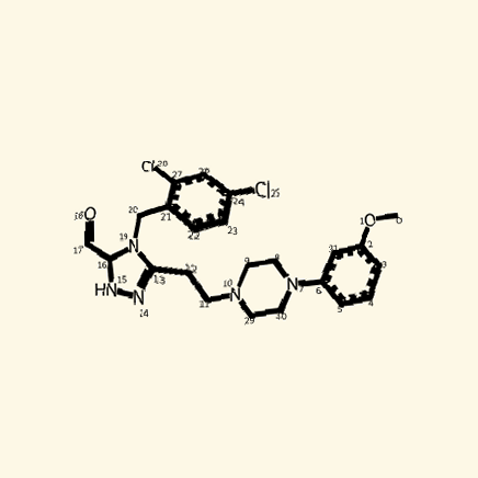 COc1cccc(N2CCN(CCC3=NNC(C=O)N3Cc3ccc(Cl)cc3Cl)CC2)c1